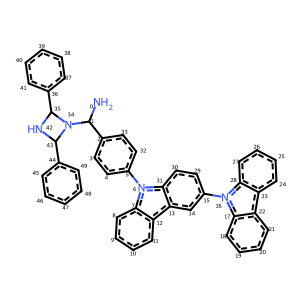 NC(c1ccc(-n2c3ccccc3c3cc(-n4c5ccccc5c5ccccc54)ccc32)cc1)N1C(c2ccccc2)NC1c1ccccc1